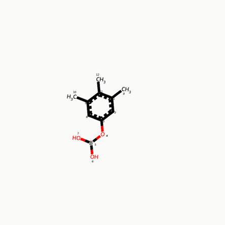 Cc1cc(OB(O)O)cc(C)c1C